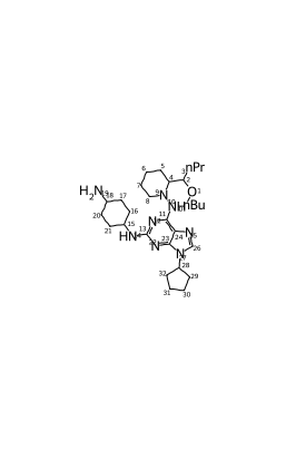 CCCCOC(CCC)C1CCCCN1Nc1nc(NC2CCC(N)CC2)nc2c1ncn2C1CCCC1